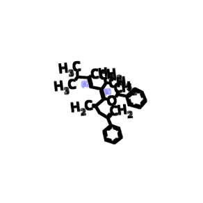 C=C(CC(=C)c1ccccc1)/C(OC(=C)c1ccccc1)=C(\C=C(/C)C(C)C)C(C)C